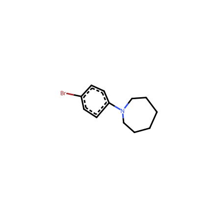 Brc1ccc(N2CCCCCC2)cc1